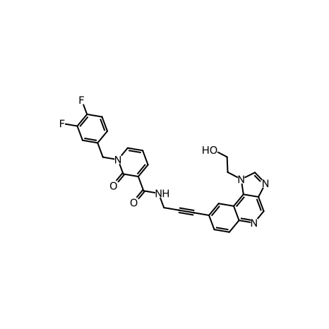 O=C(NCC#Cc1ccc2ncc3ncn(CCO)c3c2c1)c1cccn(Cc2ccc(F)c(F)c2)c1=O